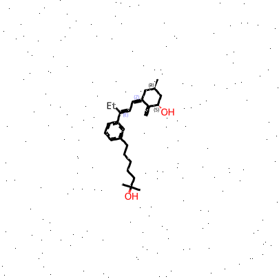 C=C1/C(=C\C=C(/CC)c2cccc(CCCCCC(C)(C)O)c2)C[C@@H](C)C[C@@H]1O